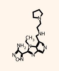 CCn1c(-c2nonc2N)nc2cncc(CNCCN3CCCC3)c21